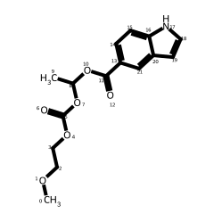 COCCOC(=O)OC(C)OC(=O)c1ccc2[nH]ccc2c1